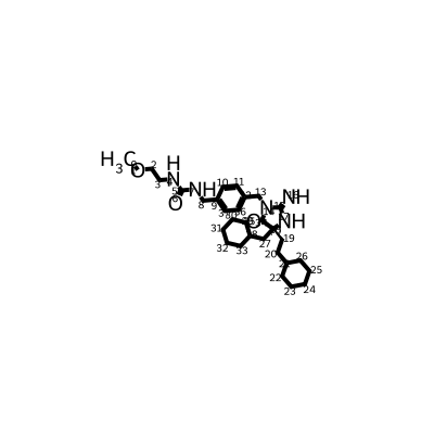 COCCNC(=O)NCc1ccc(CN2C(=N)N[C@](CCC3CCCCC3)(CC3CCCCC3)C2=O)cc1